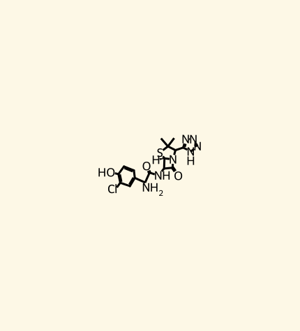 CC1(C)S[C@H]2C(NC(=O)C(N)c3ccc(O)c(Cl)c3)C(=O)N2C1c1nnn[nH]1